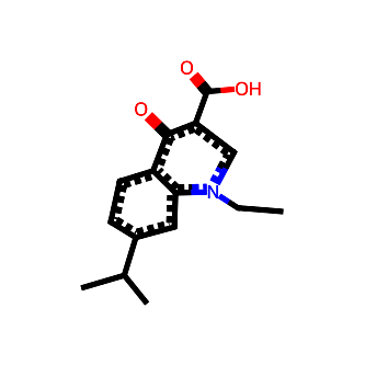 CCn1cc(C(=O)O)c(=O)c2ccc(C(C)C)cc21